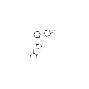 CS(=O)(=O)c1ccc(-c2ccccc2Cn2cnn(CC(CN)=C(F)F)c2=O)cc1